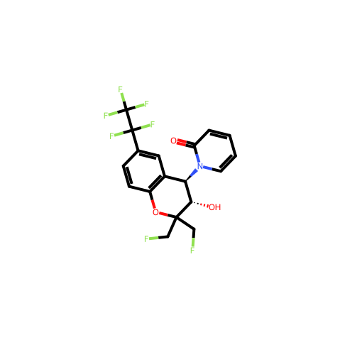 O=c1ccccn1[C@@H]1c2cc(C(F)(F)C(F)(F)F)ccc2OC(CF)(CF)[C@H]1O